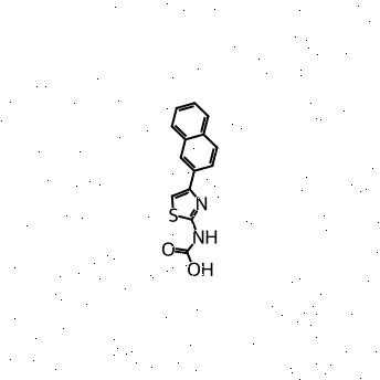 O=C(O)Nc1nc(-c2ccc3ccccc3c2)cs1